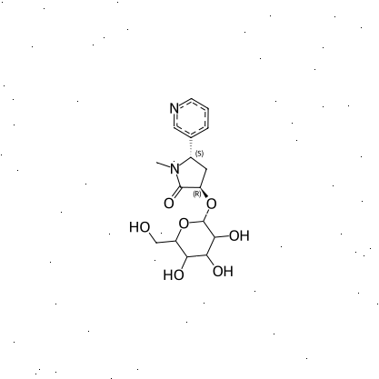 CN1C(=O)[C@H](OC2OC(CO)C(O)C(O)C2O)C[C@H]1c1cccnc1